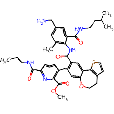 CCCNC(=O)c1ccc(-c2cc3c(cc2C(=O)Nc2c(C)cc(CN)cc2C(=O)NCCC(C)C)-c2sccc2CCO3)c(C(=O)OC)n1